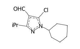 CC(C)c1nn(C2CCCCC2)c(Cl)c1C=O